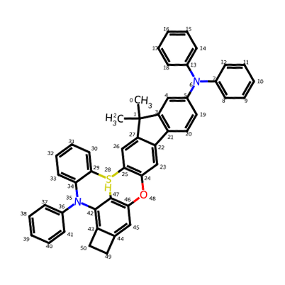 CC1(C)c2cc(N(c3ccccc3)c3ccccc3)ccc2-c2cc3c(cc21)[SH]1c2ccccc2N(c2ccccc2)c2c4c(cc(c21)O3)CC4